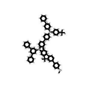 COc1ccc(-c2ccc3c(c2)C(C)(C)c2cc4c(cc2-3)c2cc(-c3ccc(N(c5ccc(-c6ccccc6)cc5)c5ccc(C(C)(C)C)cc5)cc3)ccc2n4-c2cc(-c3ccccc3)cc(-c3ccccc3)c2)cc1